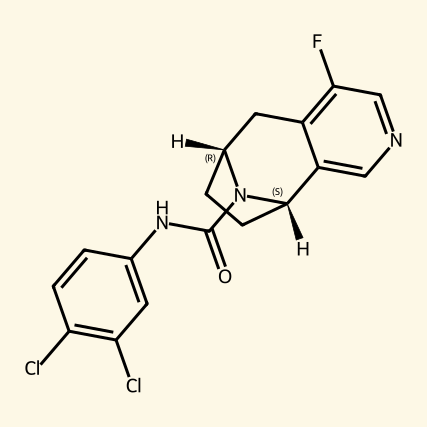 O=C(Nc1ccc(Cl)c(Cl)c1)N1[C@@H]2CC[C@H]1c1cncc(F)c1C2